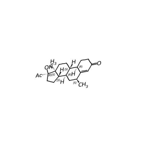 CC(=O)[C@@]1(O)CC[C@H]2[C@@H]3C[C@H](C)C4=CC(=O)CC[C@@H]4[C@H]3CC[C@@]21C